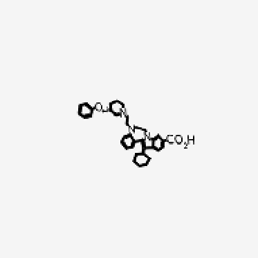 O=C(O)c1ccc2c(C3CCCCC3)c3n(c2c1)CCN(CCN1CCC[C@H](COc2ccccc2)C1)c1ccccc1-3